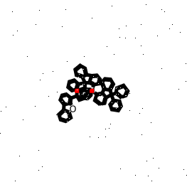 c1ccc(C2(c3ccccc3)c3ccccc3-c3c(N(c4ccc(-c5cccc6c5oc5ccccc56)cc4)c4cccc5c4C(c4ccccc4)(c4ccccc4)c4ccccc4-5)cccc32)cc1